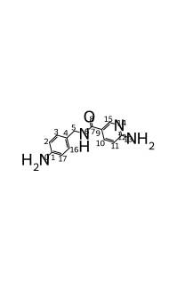 Nc1ccc(CNC(=O)c2ccc(N)nc2)cc1